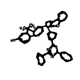 CC1(C)c2cc(C#N)ccc2-c2ccc(-c3ccc4c(oc5ccccc54)c3-c3ccc(-c4nc(-c5ccccc5)nc(-c5ccccc5)n4)cc3)cc21